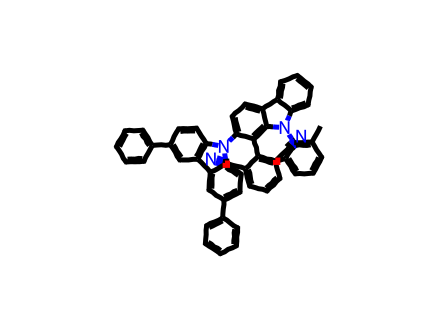 Cc1cccc(C)c1-n1c2ccccc2c2ccc(-n3c4ccc(-c5ccccc5)cc4c4cc(-c5ccccc5)ccc43)c(-c3c(C#N)cccc3C#N)c21